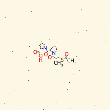 CC(=O)SCC(C)C(=O)N1CCC[C@H]1C(=O)N1CCC[C@H]1C(=O)O